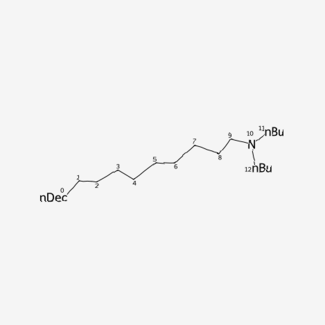 CCCCCCCCCCCCCCCCCCCN(CCCC)CCCC